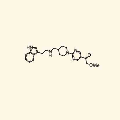 COCC(=O)c1cnc(N2CCC(CNCCc3c[nH]c4ccccc34)CC2)nc1